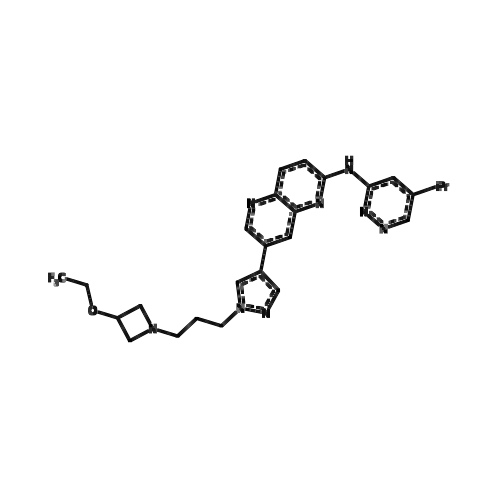 CC(C)c1cnnc(Nc2ccc3ncc(-c4cnn(CCCN5CC(OCC(F)(F)F)C5)c4)cc3n2)c1